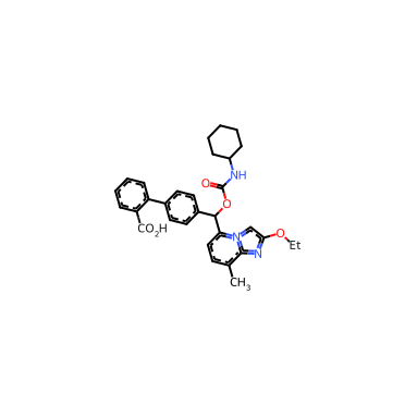 CCOc1cn2c(C(OC(=O)NC3CCCCC3)c3ccc(-c4ccccc4C(=O)O)cc3)ccc(C)c2n1